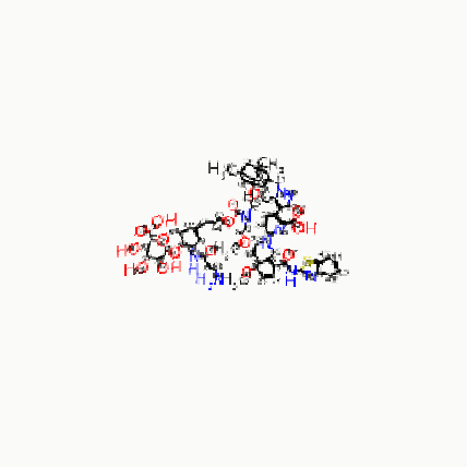 COCCN(CCOC12CC3(C)CC(C)(CC(Cn4ncc(-c5ccc(N6CCc7c(OC)ccc(C(=O)Nc8nc9ccccc9s8)c7C6)nc5C(=O)O)c4C)(C3)C1)C2)C(=O)OC/C=C/c1ccc(O[C@@H]2O[C@H](C(=O)O)[C@@H](O)[C@H](O)[C@H]2O)c(NC(=O)CCN)c1